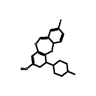 COC1=CC2=C(SC3C=CC(F)=CC3=CO2)C(C2CCN(C)CC2)C1